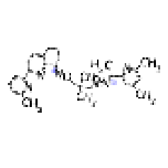 C/C(=N\OCC(C)(C)CO/N=C1\CCCc2ccc(-c3cccc(C)n3)nc21)c1cc(C)cc(C)n1